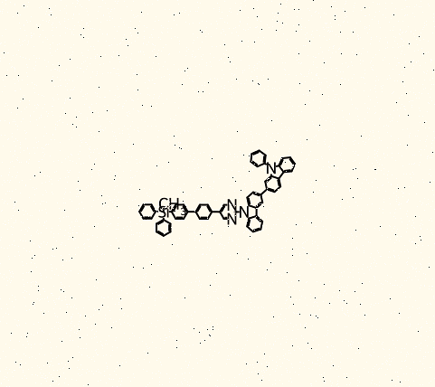 C[Si](c1ccccc1)(c1ccccc1)c1ccc(-c2ccc(-c3cnc(-n4c5ccccc5c5cc(-c6ccc7c8ccccc8n(-c8ccccc8)c7c6)ccc54)nc3)cc2)cc1